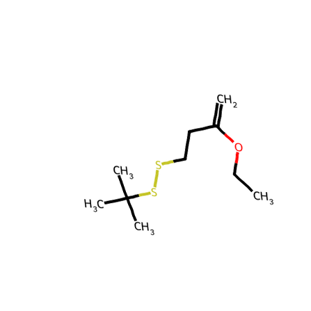 C=C(CCSSC(C)(C)C)OCC